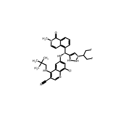 Cn1ccc2c([C@H](Nc3cc(Cl)c4ncc(C#N)c(NCC(C)(C)C)c4c3)C3=CN(C(CF)CF)NN3)cccc2c1=O